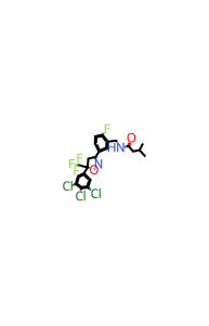 CC(C)CC(=O)NCc1cc(C2=NOC(c3cc(Cl)c(Cl)c(Cl)c3)(C(F)(F)F)C2)ccc1F